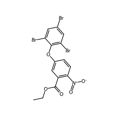 CCOC(=O)c1cc(Oc2c(Br)cc(Br)cc2Br)ccc1[N+](=O)[O-]